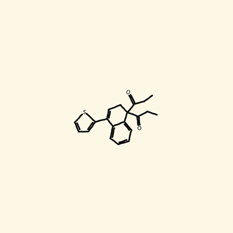 CCC(=O)C1(C(=O)CC)CC=C(c2cccs2)c2ccccc21